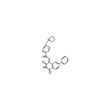 O=C1NC(=O)c2ccc(-c3ccccc3)cc2C1=CNc1ccc(CN2CCCC2)cc1